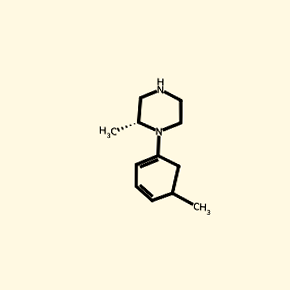 CC1C=CC=C(N2CCNC[C@H]2C)C1